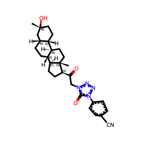 C[C@@]1(O)CC[C@H]2[C@H](CC[C@@H]3[C@@H]2CC[C@]2(C)[C@@H](C(=O)Cn4nnn(-c5ccc(C#N)cc5)c4=O)CC[C@@H]32)C1